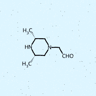 C[C@@H]1CN(CC=O)C[C@H](C)N1